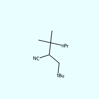 CCCC(C)(C)C(C#N)CC(C)(C)C